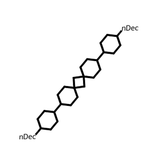 CCCCCCCCCCC1CCC(C2CCC3(CC2)CC2(CCC(C4CCC(CCCCCCCCCC)CC4)CC2)C3)CC1